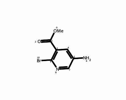 COC(=O)c1cc(N)cnc1Br